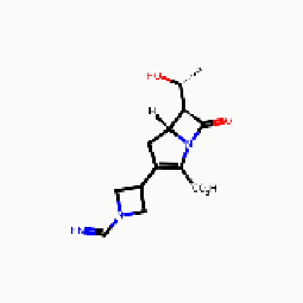 C[C@@H](O)[C@H]1C(=O)N2C(C(=O)O)=C(C3CN(C=N)C3)C[C@H]12